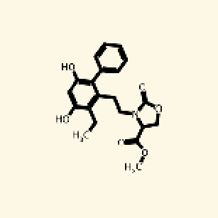 CCc1c(O)cc(O)c(-c2ccccc2)c1CCN1C(=O)OCC1C(=O)OC